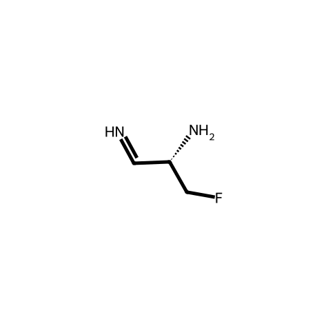 N=C[C@H](N)CF